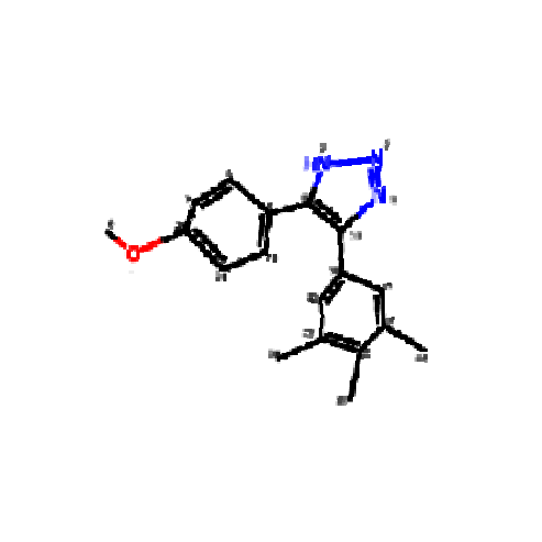 COc1ccc(-c2[nH]nnc2-c2cc(C)c(C)c(C)c2)cc1